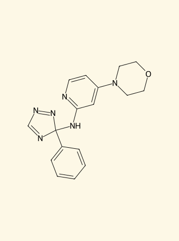 C1=NC(Nc2cc(N3CCOCC3)ccn2)(c2ccccc2)N=N1